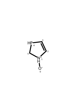 [O-][NH+]1C=CPC1